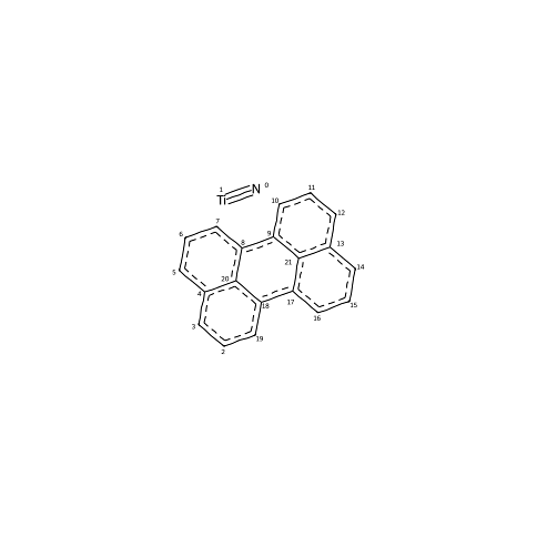 [N]#[Ti].c1cc2cccc3c4cccc5cccc(c(c1)c23)c54